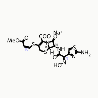 COC(=O)/C=C\SC1=C(C(=O)[O-])N2C(=O)[C@@H](NC(=O)/C(=N\O)c3csc(N)n3)[C@@H]2SC1.[Na+]